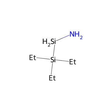 CC[Si](CC)(CC)[SiH2]N